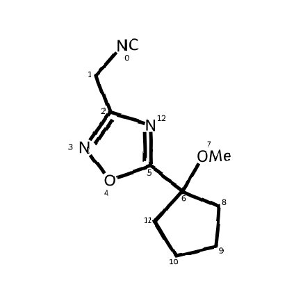 [C-]#[N+]Cc1noc(C2(OC)CCCC2)n1